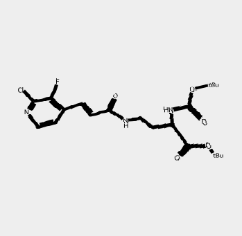 CC(C)(C)OC(=O)NC(CCNC(=O)/C=C/c1ccnc(Cl)c1F)C(=O)OC(C)(C)C